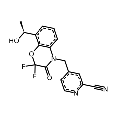 C[C@H](O)c1cccc2c1OC(F)(F)C(=O)N2Cc1ccnc(C#N)c1